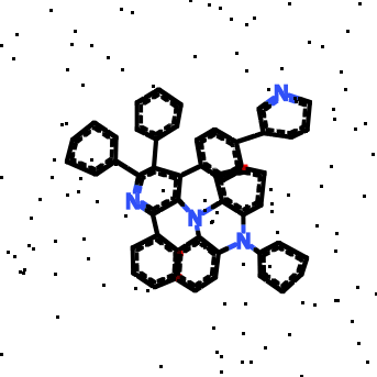 c1ccc(-c2nc(-c3ccccc3)c(N3c4ccccc4N(c4ccccc4)c4ccccc43)c(-c3ccc(-c4cccnc4)cc3)c2-c2ccccc2)cc1